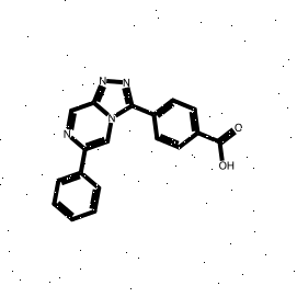 O=C(O)c1ccc(-c2nnc3cnc(-c4ccccc4)cn23)cc1